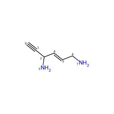 C#CC(N)/C=C/CN